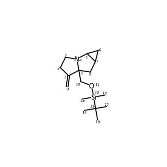 C=C1CCN2C3CC3CC12CO[Si](C)(C)C(C)(C)C